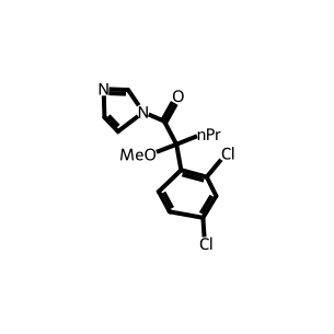 CCCC(OC)(C(=O)n1ccnc1)c1ccc(Cl)cc1Cl